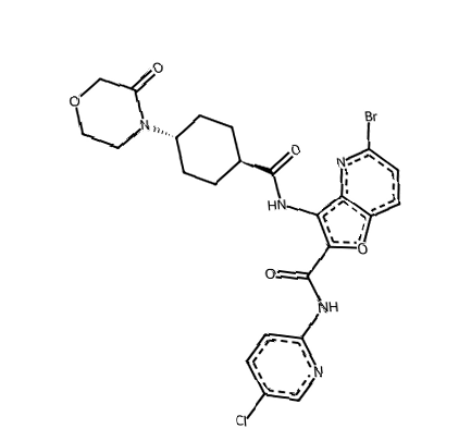 O=C(Nc1ccc(Cl)cn1)c1oc2ccc(Br)nc2c1NC(=O)[C@H]1CC[C@H](N2CCOCC2=O)CC1